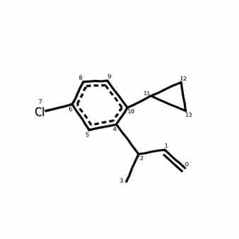 C=C[C](C)c1cc(Cl)ccc1C1CC1